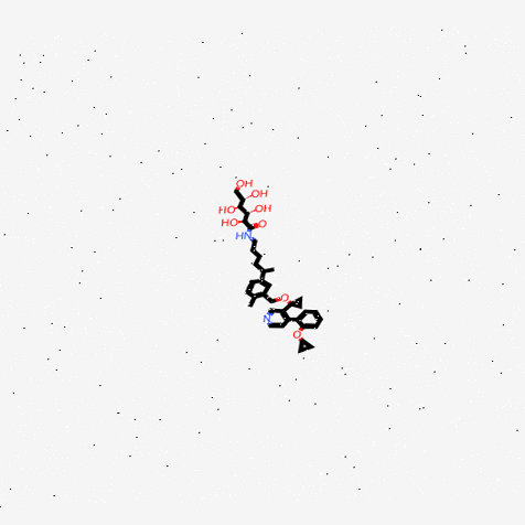 Cc1ccc(C(C)CCCCNC(=O)[C@@H](O)[C@@H](O)[C@H](O)[C@@H](O)CO)cc1COC1(c2cnccc2-c2ccccc2OC2CC2)CC1